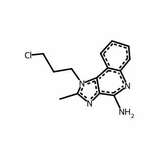 Cc1nc2c(N)nc3ccccc3c2n1CCCCl